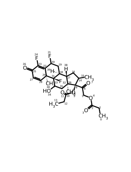 CCC(=O)OCC(=O)[C@@]1(OC(=O)CC)C(C)C[C@H]2[C@@H]3CC(F)C4=C(F)C(=O)C=C[C@]4(C)[C@@]3(F)C(O)C[C@@]21C